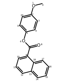 COc1ccc(OC(=O)c2cccc3ccccc23)cc1